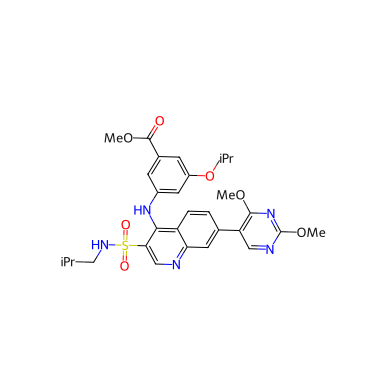 COC(=O)c1cc(Nc2c(S(=O)(=O)NCC(C)C)cnc3cc(-c4cnc(OC)nc4OC)ccc23)cc(OC(C)C)c1